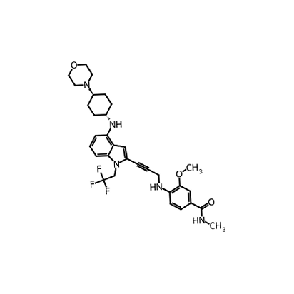 CNC(=O)c1ccc(NCC#Cc2cc3c(N[C@H]4CC[C@H](N5CCOCC5)CC4)cccc3n2CC(F)(F)F)c(OC)c1